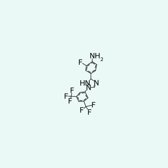 Nc1ccc(C2N=CN(c3cc(C(F)(F)F)cc(C(F)(F)F)c3)N2)cc1F